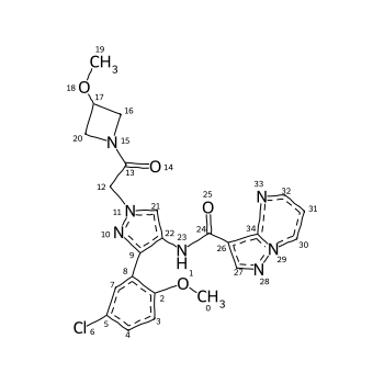 COc1ccc(Cl)cc1-c1nn(CC(=O)N2CC(OC)C2)cc1NC(=O)c1cnn2cccnc12